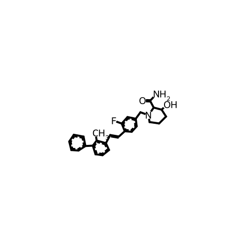 Cc1c(C=Cc2ccc(CN3CCCC(O)C3C(N)=O)cc2F)cccc1-c1ccccc1